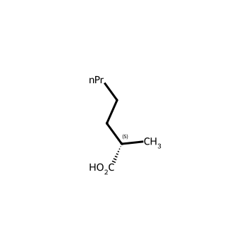 CCCCC[C@H](C)C(=O)O